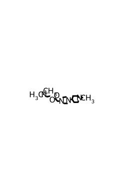 CN(C)CCOC(=O)CN1CCN(C2CCN(C)CC2)CC1